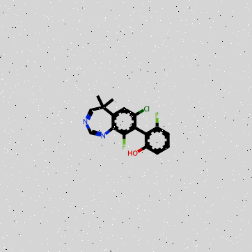 CC1(C)C=NC=Nc2c1cc(Cl)c(-c1c(O)cccc1F)c2F